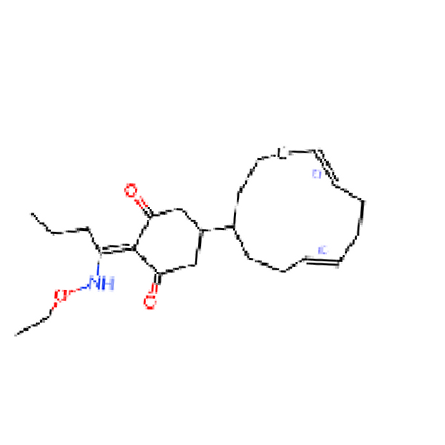 CCCC(NOCC)=C1C(=O)CC(C2CC/C=C/CC/C=C/CCC2)CC1=O